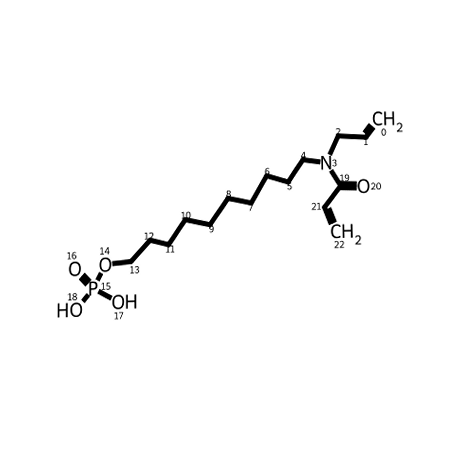 C=CCN(CCCCCCCCCCOP(=O)(O)O)C(=O)C=C